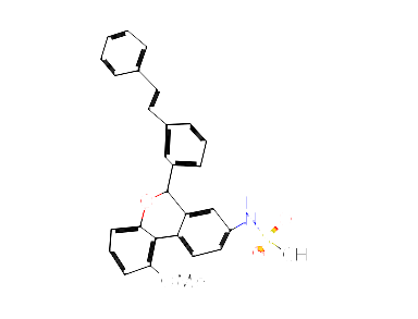 COc1cccc2c1-c1ccc(NS(C)(=O)=O)cc1C(c1cccc(C=Cc3ccccc3)c1)O2